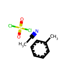 CC#N.Cc1ccccc1.O=S(=O)(Cl)Cl